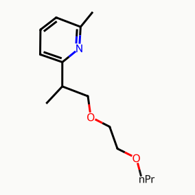 CCCOCCOCC(C)c1cccc(C)n1